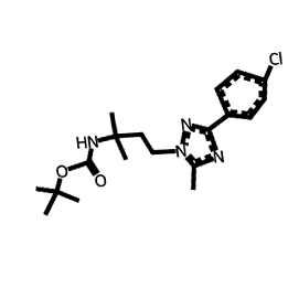 Cc1nc(-c2ccc(Cl)cc2)nn1CCC(C)(C)NC(=O)OC(C)(C)C